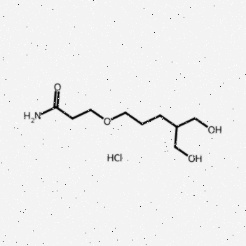 Cl.NC(=O)CCOCCCC(CO)CO